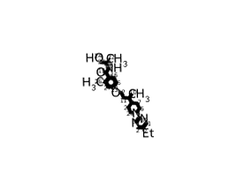 CCc1cnc(N2CCC(C(C)CCOc3ccc(C(=O)N[C@H](C)CO)c(C)c3)CC2)nc1